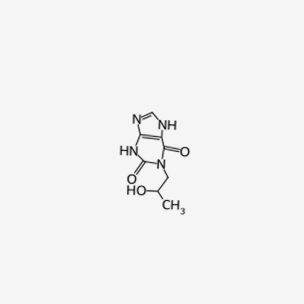 CC(O)Cn1c(=O)[nH]c2nc[nH]c2c1=O